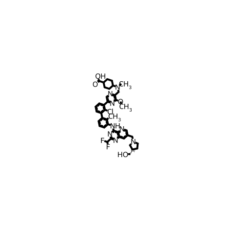 COc1nc(-c2cccc(-c3cccc(Nc4nc(C(F)F)nc5cc(CN6CC[C@H](CO)C6)cnc45)c3C)c2Cl)cnc1CN(C)C1CCC(C(=O)O)CC1